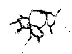 Cc1c(F)c2c3c(nc(=O)n(I)c3c1Cl)N1C(C)CN(C)CC1CS2